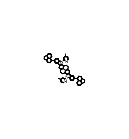 Cc1ccnc(-n2c3ccc(-c4ccc5c6c(cccc46)CC5)cc3c3cc4c5c(c32)CCc2cc3c6cc(-c7ccc8c9c(cccc79)CC8)ccc6n(-c6cc(C)ccn6)c3c(c2-5)CC4)c1